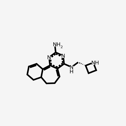 Nc1nc(NC[C@H]2CCN2)c2c(n1)=C1C=CCCC1CCC=2